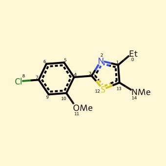 CCc1nc(-c2ccc(Cl)cc2OC)sc1NC